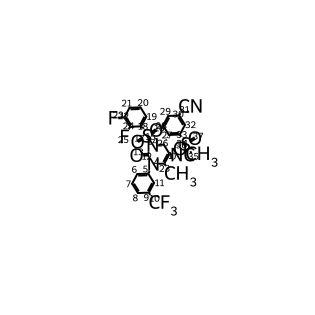 [C-]#[N+]C1=C(C)N(c2cccc(C(F)(F)F)c2)C(=O)N(S(=O)(=O)c2cccc(F)c2F)[C@@H]1c1ccc(C#N)cc1S(C)(=O)=O